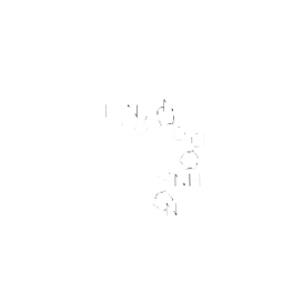 NC(=O)c1cncc(OCc2cc(NC(=O)c3cccnc3)ccc2Cl)c1